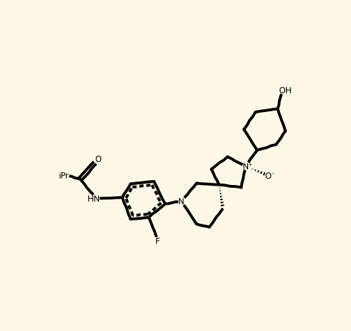 CC(C)C(=O)Nc1ccc(N2CCC[C@@]3(CC[N@@+]([O-])(C4CCC(O)CC4)C3)C2)c(F)c1